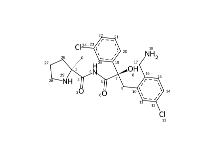 C[C@@]1(C(=O)NC(=O)[C@@](O)(Cc2cc(Cl)ccc2CN)c2cccc(Cl)c2)CCCN1